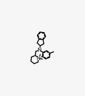 Cc1cccc(N(CC2CCCC[N+]2(C)C)C2Cc3ccccc3C2)c1